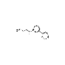 O=CCCNc1cccc(-c2ccccc2)c1